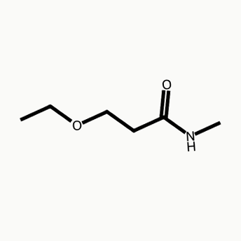 CCOCCC(=O)NC